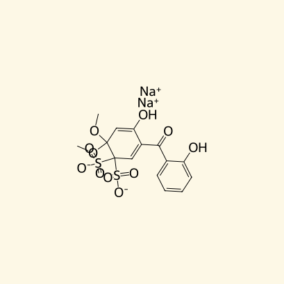 COC1(OC)C=C(O)C(C(=O)c2ccccc2O)=CC1(S(=O)(=O)[O-])S(=O)(=O)[O-].[Na+].[Na+]